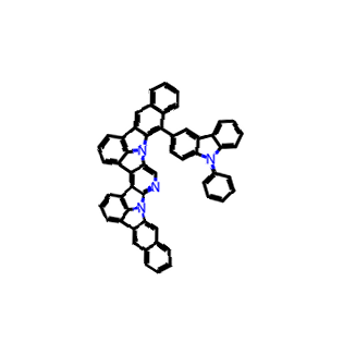 c1ccc(-n2c3ccccc3c3cc(-c4c5ccccc5cc5c6cccc7c8c9c%10cccc%11c%12cc%13ccccc%13cc%12n(c9ncc8n(c45)c67)c%11%10)ccc32)cc1